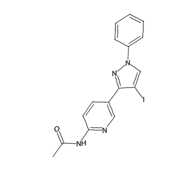 CC(=O)Nc1ccc(-c2nn(-c3ccccc3)cc2I)cn1